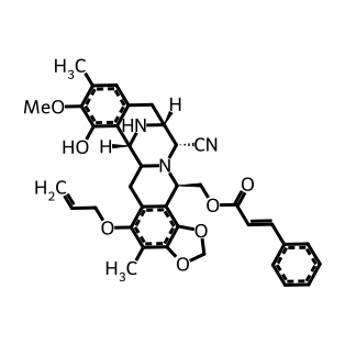 C=CCOc1c(C)c2c(c3c1CC1[C@H]4N[C@H](Cc5cc(C)c(OC)c(O)c54)[C@H](C#N)N1[C@H]3COC(=O)/C=C/c1ccccc1)OCO2